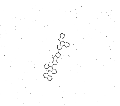 CC1(C)c2cc(-c3ccc4c(c3)c3ccccc3c3c5ccccc5sc43)ccc2-c2ccc(-c3c4ccccc4c(-c4cccc5ccccc45)c4ccccc34)cc21